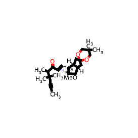 CC#CC(C)(C)C(C)C(=O)/C=C/[C@@H]1[C@H]2CC3(C[C@H]2C[C@H]1OC)OCC(C)(C)CO3